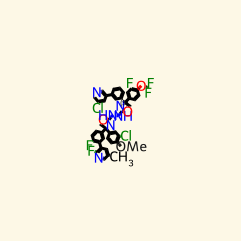 COc1ccc(C2(c3ccc(F)c(-c4cc(C)cnc4F)c3)COC(NNC3=N[C@@](c4cccc(-c5cncc(Cl)c5)c4)(c4ccc(OC(F)F)c(F)c4)CO3)=N2)cc1Cl